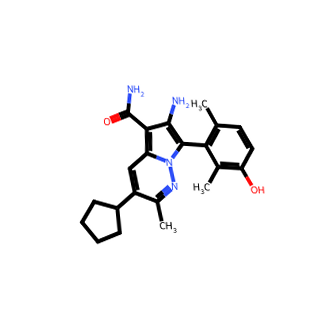 Cc1ccc(O)c(C)c1-c1c(N)c(C(N)=O)c2cc(C3CCCC3)c(C)nn12